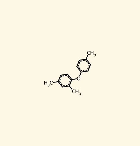 Cc1ccc(Oc2ccc(C)cc2C)cc1